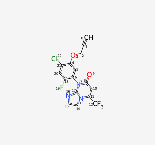 C#CCOc1cc(-n2c(=O)cc(C(F)(F)F)n3ccnc23)c(F)cc1Cl